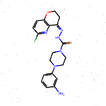 Nc1cccc(N2CCN(C(=S)N/N=C3/CCOc4ccc(F)nc43)CC2)c1